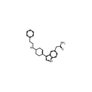 NC(=O)Cc1ccc2[nH]cc(C3=CCC(NCCc4ccccc4)CC3)c2c1